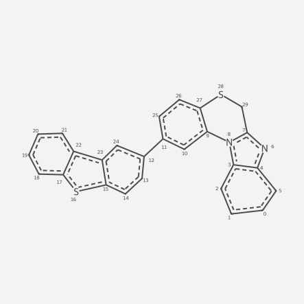 c1ccc2c(c1)nc1n2-c2cc(-c3ccc4sc5ccccc5c4c3)ccc2SC1